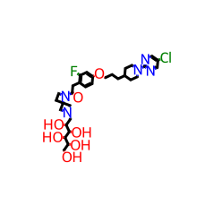 O=C(Cc1ccc(OCCCC2CCN(c3ncc(Cl)cn3)CC2)cc1F)N1CCC12CN(CC(O)C(O)C(O)C(O)CO)C2